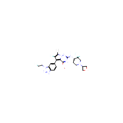 [2H]c1c(F)c(-c2ccc3nnn(CCF)c3c2)c2c(OC)nc(N[C@@H]3CCN(C4COC4)CC3(F)F)nn12